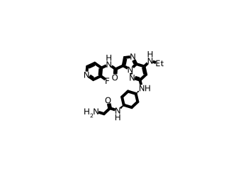 CCNc1cc(N[C@H]2CC[C@H](NC(=O)CN)CC2)nn2c(C(=O)Nc3ccncc3F)cnc12